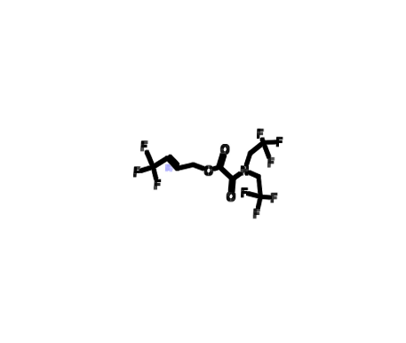 O=C(OC/C=C/C(F)(F)F)C(=O)N(CC(F)(F)F)CC(F)(F)F